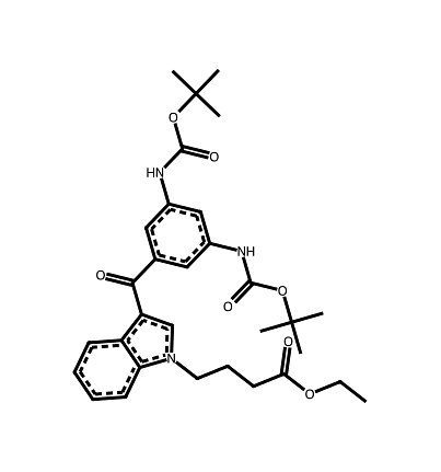 CCOC(=O)CCCn1cc(C(=O)c2cc(NC(=O)OC(C)(C)C)cc(NC(=O)OC(C)(C)C)c2)c2ccccc21